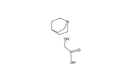 C1CN2CCC1CC2.O=C(O)CO